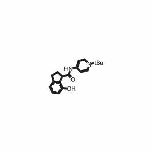 CC(C)(C)N1C=CC(NC(=O)C2CCc3cccc(O)c32)=CC1